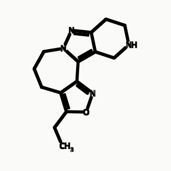 CCc1onc2c1CCCn1nc3c(c1-2)CNCC3